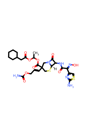 CC(OC(=O)CC1CCCCC1)OC(=O)C1(C=CCOC(N)=O)CS[C@@H]2C(NC(=O)C(=NO)c3csc(N)n3)C(=O)N2C1